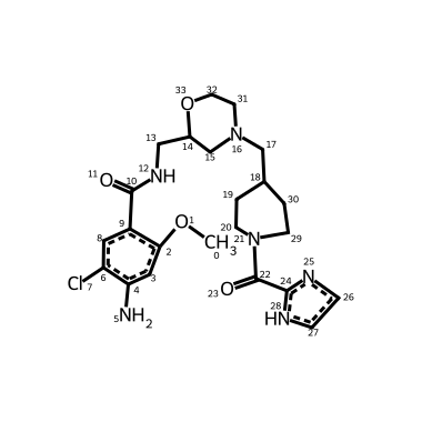 COc1cc(N)c(Cl)cc1C(=O)NCC1CN(CC2CCN(C(=O)c3ncc[nH]3)CC2)CCO1